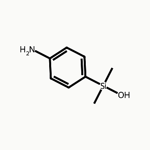 C[Si](C)(O)c1ccc(N)cc1